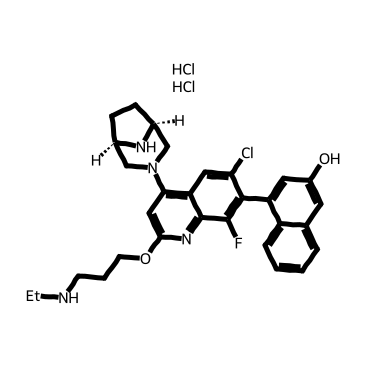 CCNCCCOc1cc(N2C[C@H]3CC[C@@H](C2)N3)c2cc(Cl)c(-c3cc(O)cc4ccccc34)c(F)c2n1.Cl.Cl